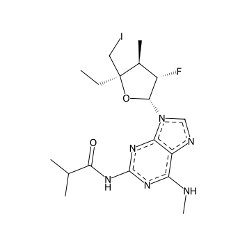 CC[C@@]1(CI)O[C@@H](n2cnc3c(NC)nc(NC(=O)C(C)C)nc32)[C@@H](F)[C@@H]1C